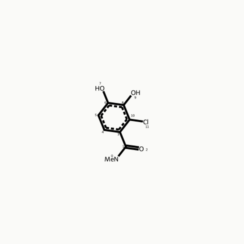 CNC(=O)c1ccc(O)c(O)c1Cl